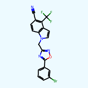 N#Cc1ccc2c(ccn2Cc2noc(-c3cccc(Br)c3)n2)c1C(F)(F)F